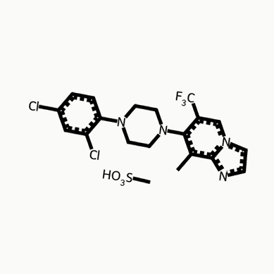 CS(=O)(=O)O.Cc1c(N2CCN(c3ccc(Cl)cc3Cl)CC2)c(C(F)(F)F)cn2ccnc12